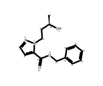 C[C@@H](O)CCn1nccc1C(=O)OCc1ccccc1